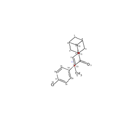 CCC(=O)N1CC2CC(C1)N2C/C=C/c1ccc(Cl)cc1